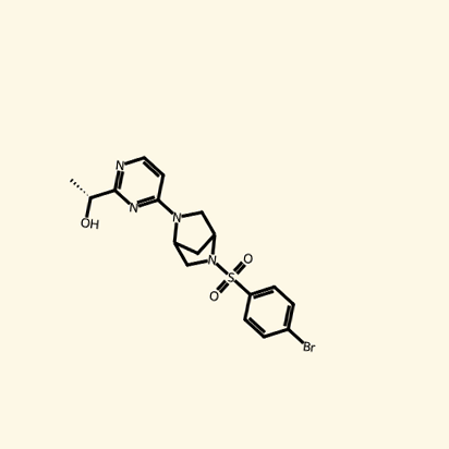 C[C@@H](O)c1nccc(N2CC3CC2CN3S(=O)(=O)c2ccc(Br)cc2)n1